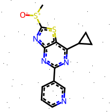 C[S+]([O-])c1nc2nc(-c3cccnc3)nc(C3CC3)c2s1